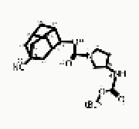 CC(C)(C)OC(=O)NC1CCN(C(=O)OC2C3CC4CC2CC(C#N)(C4)C3)C1